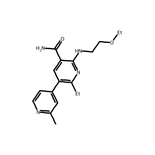 CCOCCNc1nc(CC)c(-c2ccnc(C)c2)cc1C(N)=O